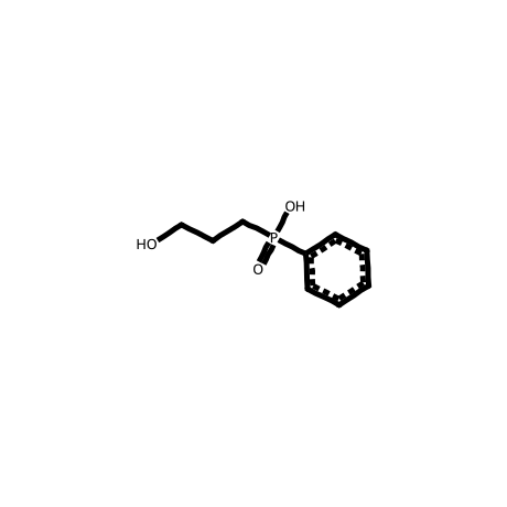 O=P(O)(CCCO)c1ccccc1